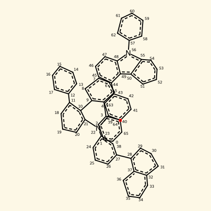 c1ccc(-c2ccccc2-c2c(-c3ccccc3)cccc2N(c2cccc(-c3cccc4ccccc34)c2)c2cccc(-c3cccc4c3c3ccccc3n4-c3ccccc3)c2)cc1